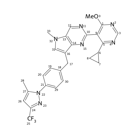 COc1ncnc(C2CC2)c1-c1ncc2c(n1)c(Cc1ccc(-n3nc(C(F)(F)F)cc3C)cc1)cn2C